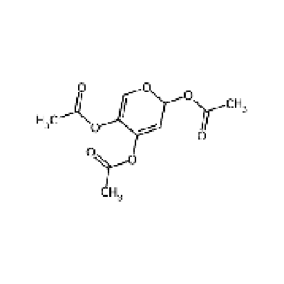 CC(=O)OC1=COC(OC(C)=O)C=C1OC(C)=O